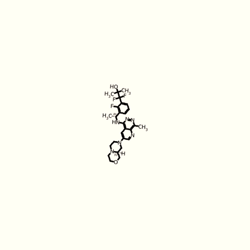 Cc1nnc(N[C@H](C)c2cccc(C(F)(F)C(C)(C)O)c2F)c2cc(N3CCN4CCOC[C@@H]4C3)cnc12